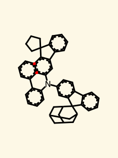 c1ccc(-c2ccccc2N(c2ccc3c(c2)-c2ccccc2C32CCCC2)c2ccc3c(c2)C2(c4ccccc4-3)C3CC4CC(C3)CC2C4)cc1